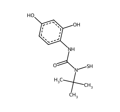 CC(C)(C)N(S)C(=O)Nc1ccc(O)cc1O